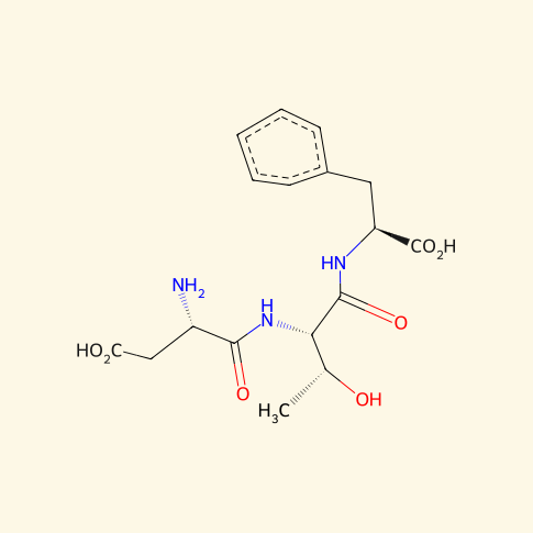 C[C@@H](O)[C@H](NC(=O)[C@@H](N)CC(=O)O)C(=O)N[C@@H](Cc1ccccc1)C(=O)O